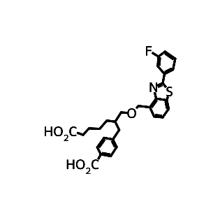 O=C(O)CCCCC(COCc1cccc2sc(-c3cccc(F)c3)nc12)Cc1ccc(C(=O)O)cc1